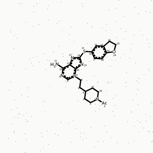 CC(=O)N1CCC(CCn2cnc(N)c3nc(Sc4ccc5c(c4)CCO5)nc2-3)CC1